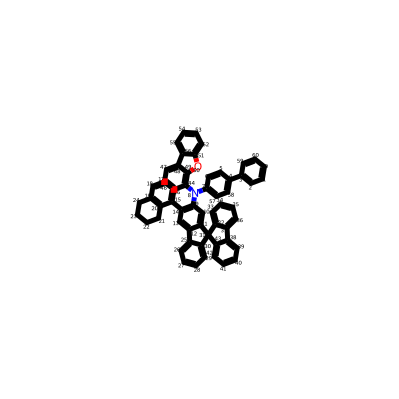 c1ccc(-c2ccc(N(c3cc4c(cc3-c3cccc5c3CCCC5)-c3ccccc3C43c4ccccc4-c4ccccc43)c3cccc4c3oc3ccccc34)cc2)cc1